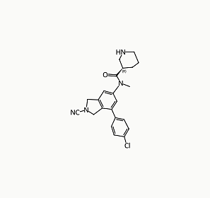 CN(C(=O)[C@@H]1CCCNC1)c1cc2c(c(-c3ccc(Cl)cc3)c1)CN(C#N)C2